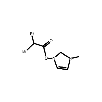 CCC(Br)C(=O)ON1C=CN(C)C1